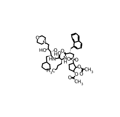 CCCC[C@H](NC(=O)[C@H](Cc1cccc2ccccc12)CS(=O)(=O)C1CCC(OC(C)=O)C1OC(C)=O)C(=O)N[C@@H](CC1CCCCC1)[C@@H](O)[C@@H](O)CN1CCOCC1